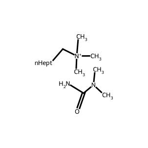 CCCCCCCC[N+](C)(C)C.CN(C)C(N)=O